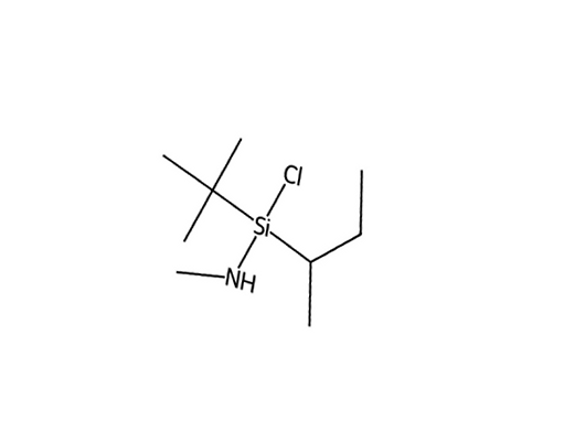 CCC(C)[Si](Cl)(NC)C(C)(C)C